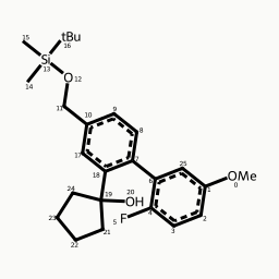 COc1ccc(F)c(-c2ccc(CO[Si](C)(C)C(C)(C)C)cc2C2(O)CCCC2)c1